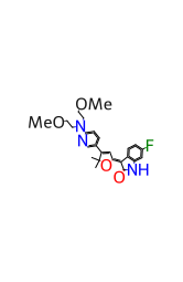 COCCN(CCOC)c1ccc(C2=CC(=C3C(=O)Nc4cc(F)ccc43)OC2(C)C)cn1